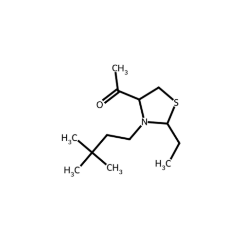 CCC1SCC(C(C)=O)N1CCC(C)(C)C